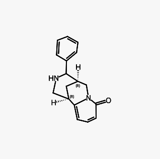 O=c1cccc2n1C[C@H]1C[C@@H]2CNC1c1ccccc1